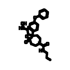 CCCNC(=O)N1CCC(CC(=O)NO)(c2ccc(Oc3ccccc3)cc2)S(=O)(=O)CC1